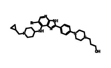 OCCCN1CCN(c2ccc(-c3nc4c(NC5CCN(CC6CC6)CC5)c(Br)cnc4[nH]3)cc2)CC1